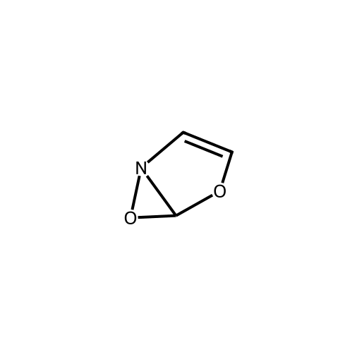 C1=CN2OC2O1